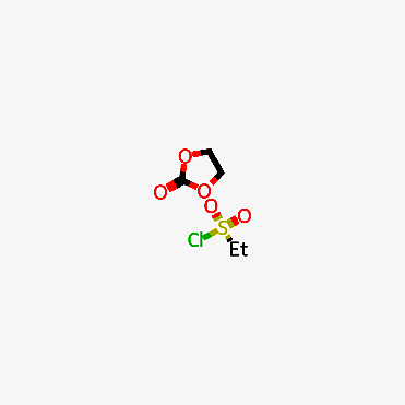 CCS(=O)(=O)Cl.O=C1OCCO1